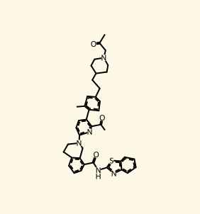 CC(=O)CN1CCC(CCc2ccc(-c3ccc(N4CCc5cccc(C(=O)Nc6nc7ccccc7s6)c5C4)nc3C(C)=O)c(C)c2)CC1